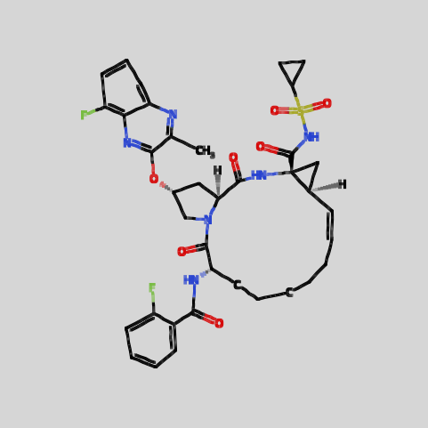 Cc1nc2cccc(F)c2nc1O[C@@H]1C[C@H]2C(=O)N[C@]3(C(=O)NS(=O)(=O)C4CC4)C[C@H]3C=CCCCCC[C@H](NC(=O)c3ccccc3F)C(=O)N2C1